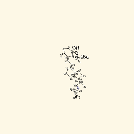 C=C1CC[C@@](O)(O[Si](C)(C)C(C)(C)C)CC1=CC=C1CCC[C@@]2(C)C1CC[C@@H]2[C@H](C)/C=C/[C@H](C)C(C)C